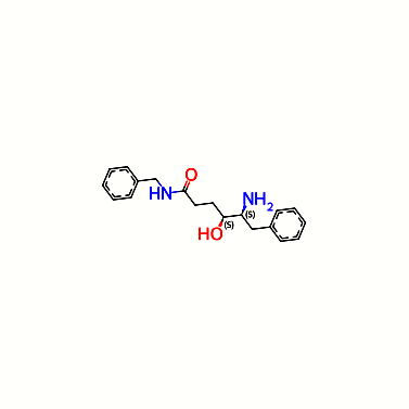 N[C@@H](Cc1ccccc1)[C@@H](O)CCC(=O)NCc1ccccc1